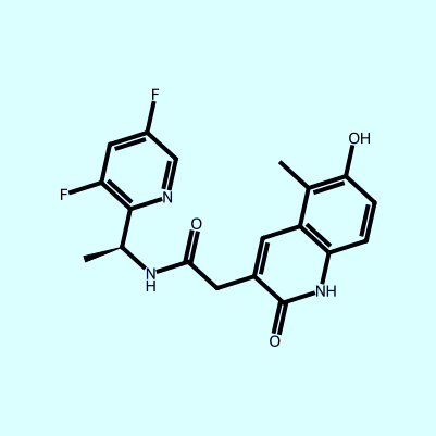 Cc1c(O)ccc2[nH]c(=O)c(CC(=O)N[C@@H](C)c3ncc(F)cc3F)cc12